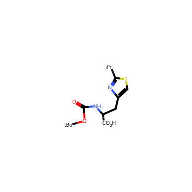 CC(C)c1nc(CC(NC(=O)OC(C)(C)C)C(=O)O)cs1